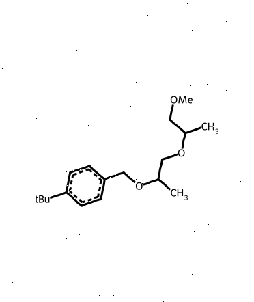 COCC(C)OCC(C)OCc1ccc(C(C)(C)C)cc1